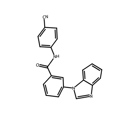 N#Cc1ccc(NC(=O)c2cccc(-n3cnc4ccccc43)c2)cc1